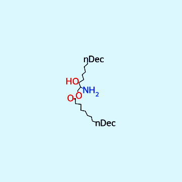 CCCCCCCCCCCCCCCCCC(=O)OCC(N)C(O)CCCCCCCCCCCCCCC